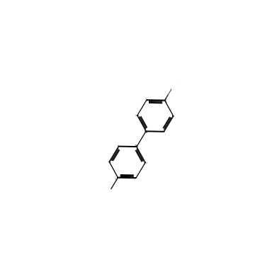 Cc1ccc(-c2ccc(Cl)cc2)cc1